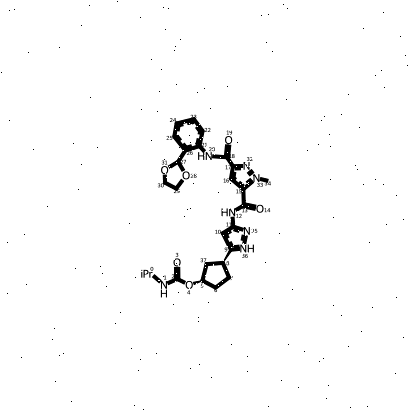 CC(C)NC(=O)O[C@@H]1CC[C@H](c2cc(NC(=O)c3cc(C(=O)Nc4ccccc4C4OCCO4)nn3C)n[nH]2)C1